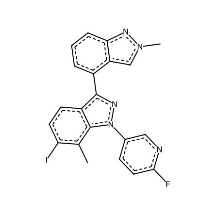 Cc1c(I)ccc2c(-c3cccc4nn(C)cc34)nn(-c3ccc(F)nc3)c12